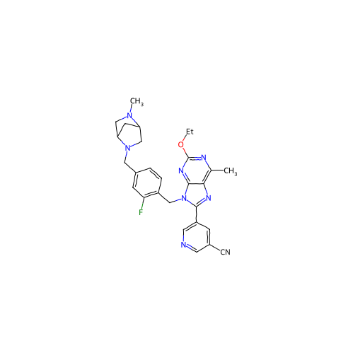 CCOc1nc(C)c2nc(-c3cncc(C#N)c3)n(Cc3ccc(CN4CC5CC4CN5C)cc3F)c2n1